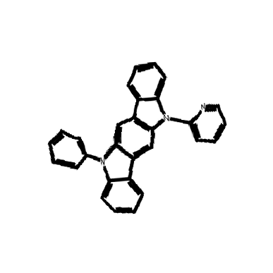 c1ccc(-n2c3ccccc3c3cc4c(cc32)c2ccccc2n4-c2ccccn2)cc1